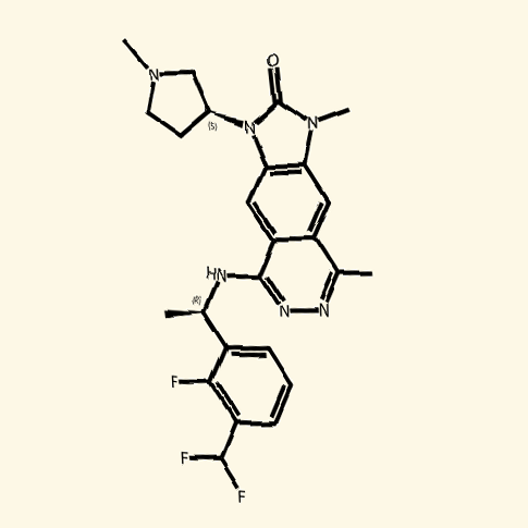 Cc1nnc(N[C@H](C)c2cccc(C(F)F)c2F)c2cc3c(cc12)n(C)c(=O)n3[C@H]1CCN(C)C1